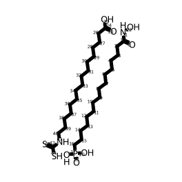 O=C(CCCCCCCCCCCCCCCP(=O)(O)O)NO.O=C(O)CCCCCCCCCCCCCCCNC(=S)S